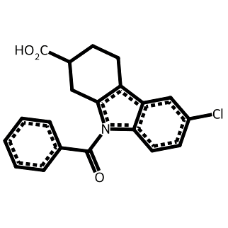 O=C(O)C1CCc2c(n(C(=O)c3ccccc3)c3ccc(Cl)cc23)C1